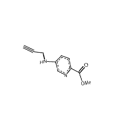 C#CCNc1ccc(C(=O)OC)nc1